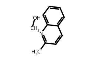 CO.Cc1ccc2ccccc2n1